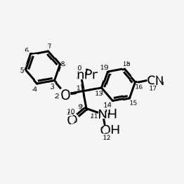 CCCC(Oc1ccccc1)(C(=O)NO)c1ccc(C#N)cc1